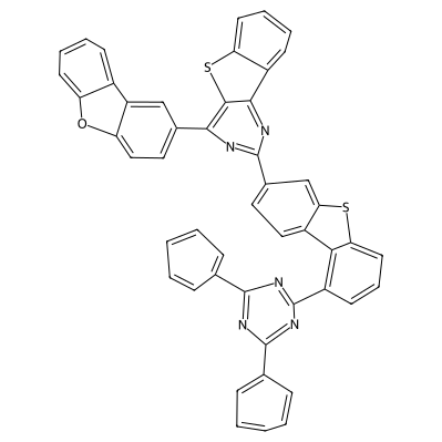 c1ccc(-c2nc(-c3ccccc3)nc(-c3cccc4sc5cc(-c6nc(-c7ccc8oc9ccccc9c8c7)c7sc8ccccc8c7n6)ccc5c34)n2)cc1